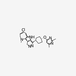 Cc1cc(O[C@H]2CC[C@H](C3=c4[nH]c5c(c4CN=N3)N(C)CC=C(Cl)C=5)CC2)nc(C)n1